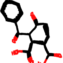 O=C(O)C1=C(C(=O)O)C(C(=O)c2ccccc2)C(=O)C=C1